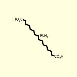 O=C(O)CCCCCCCCCCCCCCC(=O)O.[PbH2]